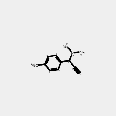 C#CC(c1ccc(OC)cc1)N(CCCC)CCCC